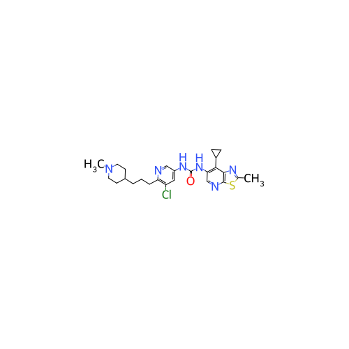 Cc1nc2c(C3CC3)c(NC(=O)Nc3cnc(CCCC4CCN(C)CC4)c(Cl)c3)cnc2s1